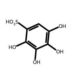 O=S(=O)(O)c1cc(O)c(O)c(O)c1O